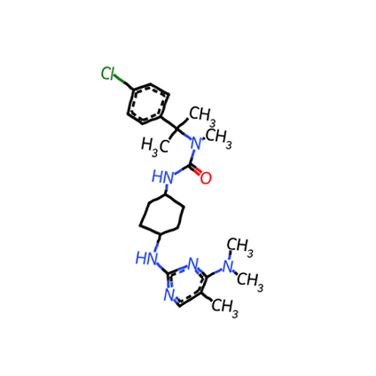 Cc1cnc(NC2CCC(NC(=O)N(C)C(C)(C)c3ccc(Cl)cc3)CC2)nc1N(C)C